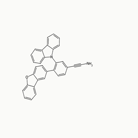 NC#Cc1ccc(-c2ccc3oc4ccccc4c3c2)c(-n2c3ccccc3c3ccccc32)c1